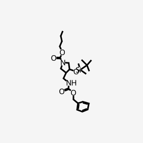 CCCCOC(=O)N1CC(CNC(=O)OCc2ccccc2)C(O[Si](C)(C)C(C)(C)C)C1